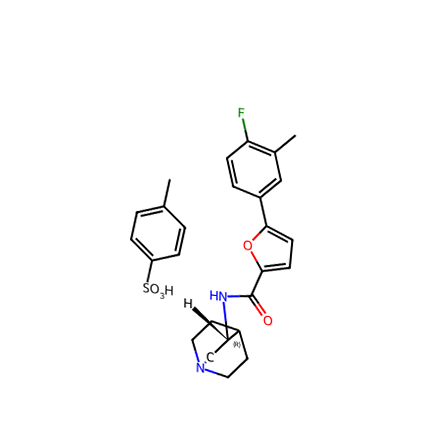 Cc1cc(-c2ccc(C(=O)N[C@H]3CN4CCC3CC4)o2)ccc1F.Cc1ccc(S(=O)(=O)O)cc1